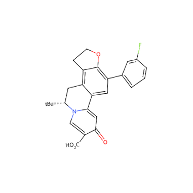 CC(C)(C)[C@@H]1Cc2c(cc(-c3cccc(F)c3)c3c2CCO3)-c2cc(=O)c(C(=O)O)cn21